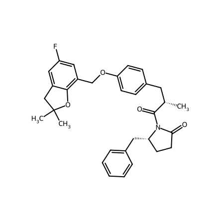 C[C@@H](Cc1ccc(OCc2cc(F)cc3c2OC(C)(C)C3)cc1)C(=O)N1C(=O)CC[C@@H]1Cc1ccccc1